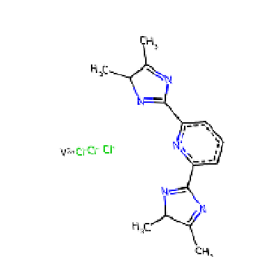 CC1=NC(c2cccc(C3=NC(C)C(C)=N3)n2)=NC1C.[Cl-].[Cl-].[Cl-].[V+3]